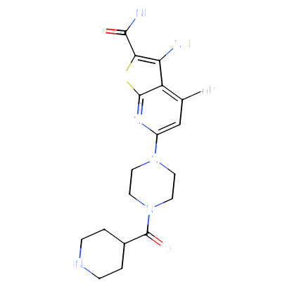 CCCc1cc(N2CCN(C(=O)C3CCNCC3)CC2)nc2sc(C(N)=O)c(N)c12